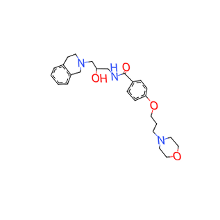 O=C(NCC(O)CN1CCc2ccccc2C1)c1ccc(OCCCN2CCOCC2)cc1